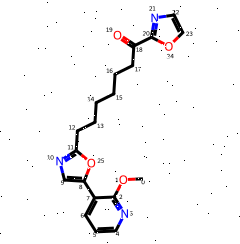 COc1ncccc1-c1cnc(CCCCCCC(=O)c2ncco2)o1